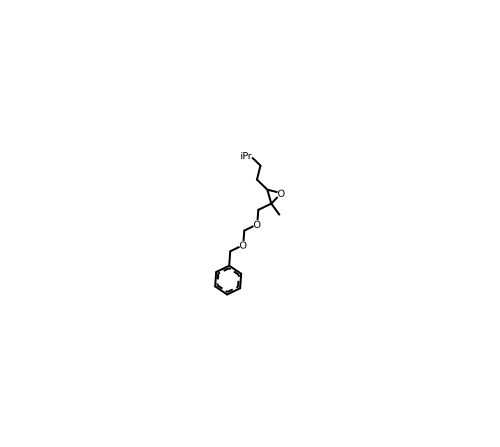 CC(C)CCC1OC1(C)COCOCc1ccccc1